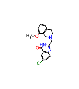 COc1cccc2c1CN(Cc1nc3ccc(Cl)cc3c(=O)[nH]1)CC2